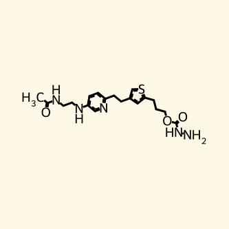 CC(=O)NCCNc1ccc(CCc2csc(CCCOC(=O)NN)c2)nc1